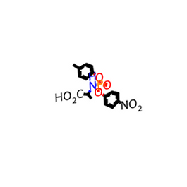 Cc1ccc(OP(=O)(NC(C)C(=O)O)Oc2ccc([N+](=O)[O-])cc2)cc1